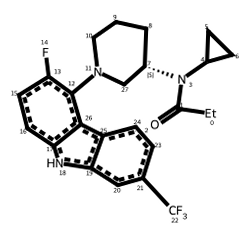 CCC(=O)N(C1CC1)[C@H]1CCCN(c2c(F)ccc3[nH]c4cc(C(F)(F)F)ccc4c23)C1